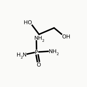 NP(N)(N)=O.OCCO